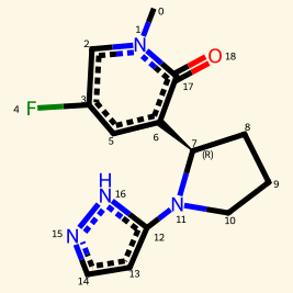 Cn1cc(F)cc([C@H]2CCCN2c2ccn[nH]2)c1=O